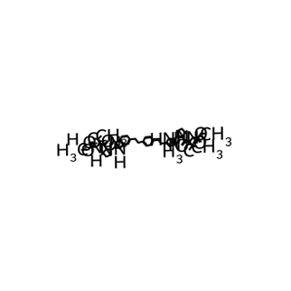 COC(=O)NC(C(=O)N1CCCC1c1ncc(CCc2ccc(CCc3ccc4nc(C5CCCN5C(=O)C(NC(=O)OC)C(C)C)[nH]c4c3)cc2)[nH]1)C(C)C